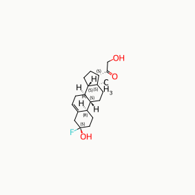 C[C@]12CC[C@H]3[C@@H](CC=C4C[C@@](O)(F)CC[C@@H]43)[C@@H]1CC[C@@H]2C(=O)CO